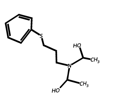 CC(O)N(CCCSc1ccccc1)C(C)O